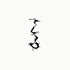 CNC(=O)CSCC(=O)NCCN1CCC[C@H](C)C1=O